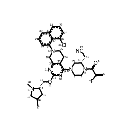 C=C(F)C(=O)N1CCN(c2nc(OC[C@@H]3CC(C)CN3C)nc3c2CCN(c2cccc4cccc(Cl)c24)C3)C[C@@H]1CC#N